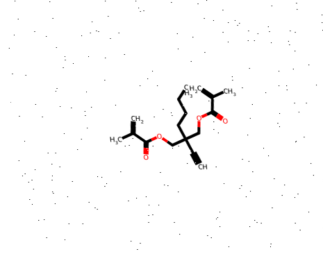 C#CC(CCCC)(COC(=O)C(=C)C)COC(=O)C(=C)C